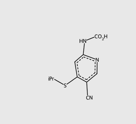 CC(C)Sc1cc(NC(=O)O)ncc1C#N